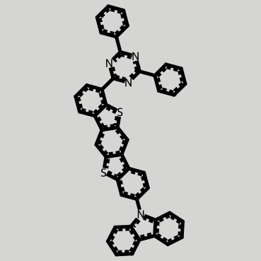 c1ccc(-c2nc(-c3ccccc3)nc(-c3cccc4c3sc3cc5c(cc34)sc3cc(-n4c6ccccc6c6ccccc64)ccc35)n2)cc1